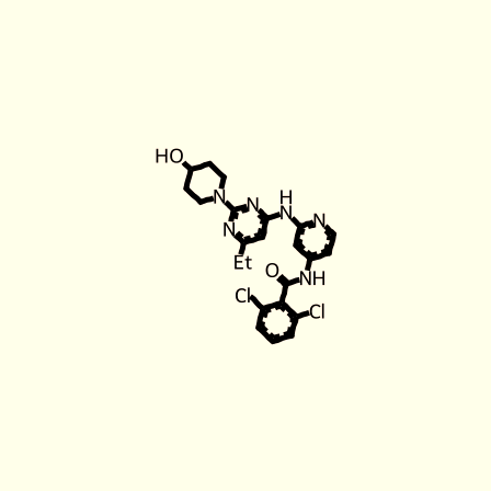 CCc1cc(Nc2cc(NC(=O)c3c(Cl)cccc3Cl)ccn2)nc(N2CCC(O)CC2)n1